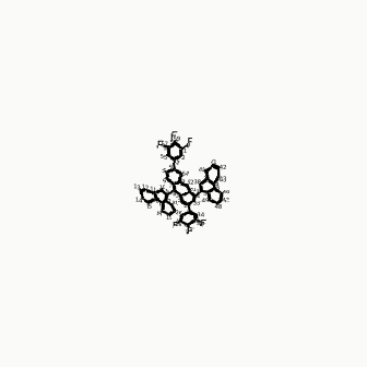 Fc1cc(-c2ccc3c(-c4cc5ccccc5c5ccccc45)c4cc(-c5cc(F)c(F)c(F)c5)cc(-c5cc6ccccc6c6ccccc56)c4cc3c2)cc(F)c1F